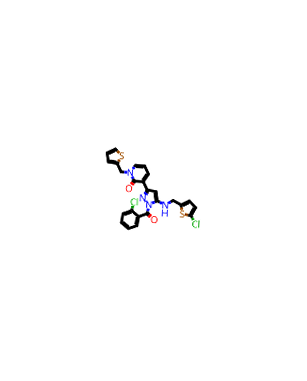 O=C(c1ccccc1Cl)n1nc(-c2cccn(Cc3cccs3)c2=O)cc1NCc1ccc(Cl)s1